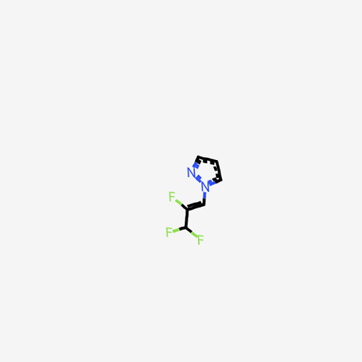 FC(=Cn1cccn1)C(F)F